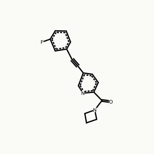 O=C(c1ccc(C#Cc2cccc(F)c2)cn1)N1CCC1